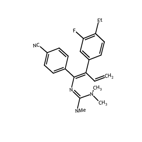 C=C/C(=C(\N=C(\NC)N(C)C)c1ccc(C#N)cc1)c1ccc(CC)c(F)c1